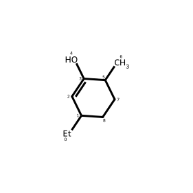 CCC1C=C(O)C(C)CC1